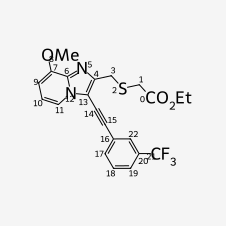 CCOC(=O)CSCc1nc2c(OC)cccn2c1C#Cc1cccc(C(F)(F)F)c1